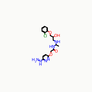 CC(NCC(O)COc1ccccc1Cl)NC(=O)COc1ccc(NN)nn1